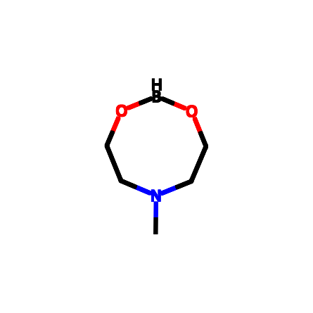 CN1CCOBOCC1